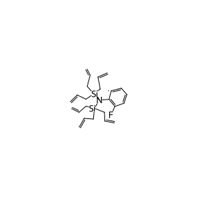 C=CC[Si](CC=C)(CC=C)N(c1[c]cccc1F)[Si](CC=C)(CC=C)CC=C